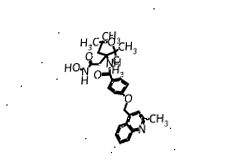 Cc1cc(COc2ccc(C(=O)NC3(CC(=O)NO)CC(C)(C)OC3(C)C)cc2)c2ccccc2n1